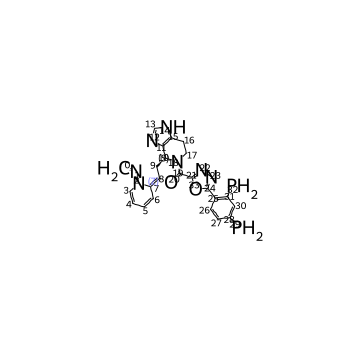 C=NN1C=CC=C/C1=C/C[C@H]1c2nc[nH]c2CCN1C(=O)c1nnc(-c2ccc(P)cc2P)o1